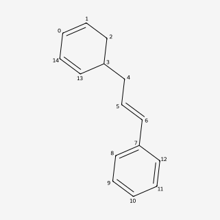 C1=CCC(C/C=C/c2ccccc2)C=C1